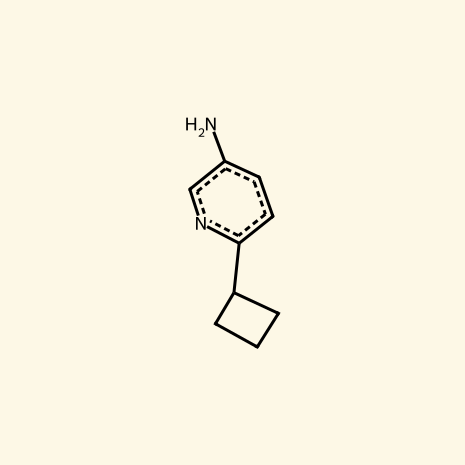 Nc1ccc(C2CCC2)nc1